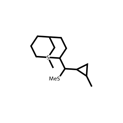 CSC(C1CC1C)C1CCC2CCCS1(C)C2